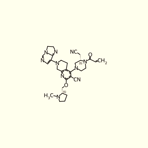 C=CC(=O)N1CCN(c2c(C#N)c(OC[C@@H]3CCCN3C)nc3c2CCN(C2=CN=CN4CCN=C24)C3)C[C@@H]1CC#N